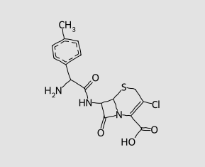 Cc1ccc(C(N)C(=O)NC2C(=O)N3C(C(=O)O)=C(Cl)CSC23)cc1